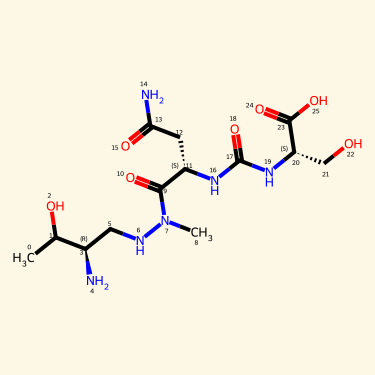 CC(O)[C@H](N)CNN(C)C(=O)[C@H](CC(N)=O)NC(=O)N[C@@H](CO)C(=O)O